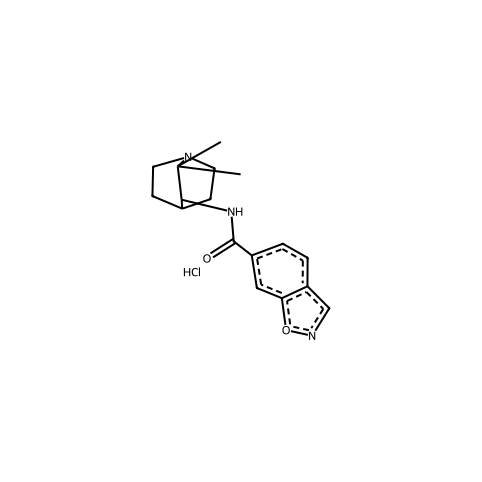 CC1(C)C(NC(=O)c2ccc3cnoc3c2)C2CCN1CC2.Cl